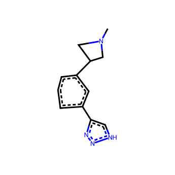 CN1CC(c2cccc(-c3c[nH]nn3)c2)C1